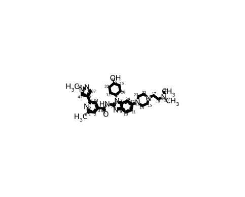 Cc1cc(C(=O)Nc2nc3ccc(N4CCN(CCN(C)C)CC4)cc3n2[C@H]2CC[C@@H](O)CC2)cc(-c2cnn(C)c2)n1